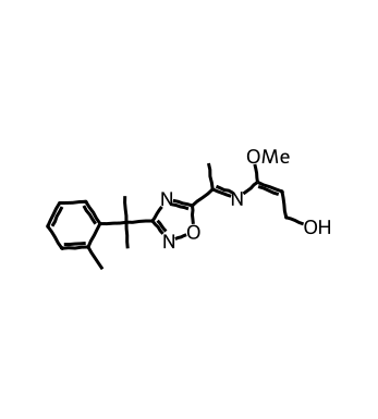 COC(=C/CO)/N=C(\C)c1nc(C(C)(C)c2ccccc2C)no1